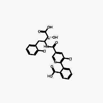 O=C(NC(Cc1ccccc1Cl)[C@@H](O)C(=O)O)c1cnc(-c2ccccc2C(=O)O)c(Cl)c1